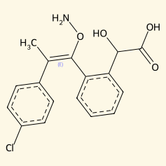 C/C(=C(\ON)c1ccccc1C(O)C(=O)O)c1ccc(Cl)cc1